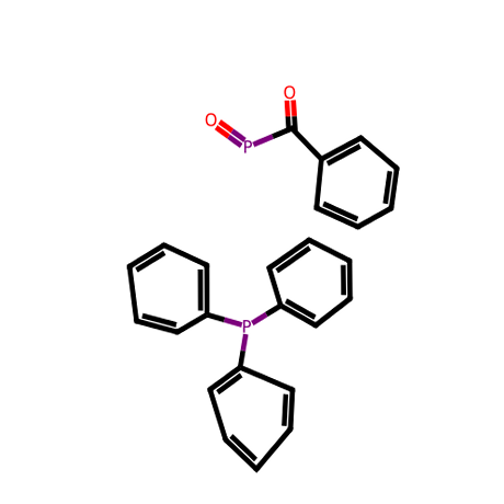 O=PC(=O)c1ccccc1.c1ccc(P(c2ccccc2)c2ccccc2)cc1